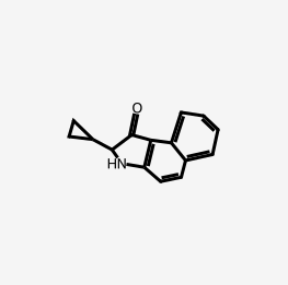 O=C1c2c(ccc3ccccc23)NC1C1CC1